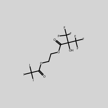 O=C(OCCOC(=O)C(O)(C(F)(F)F)C(F)(F)F)C(I)(I)I